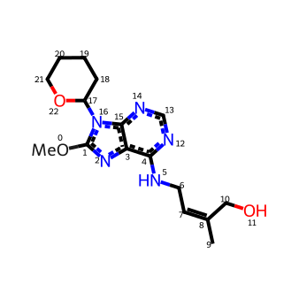 COc1nc2c(NCC=C(C)CO)ncnc2n1C1CCCCO1